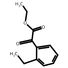 CCOC(=O)C(=O)c1ccccc1CC